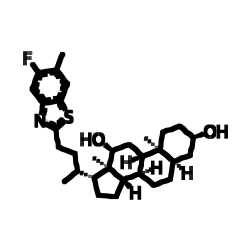 Cc1cc2sc(CCC(C)[C@H]3CC[C@H]4[C@@H]5CC[C@@H]6C[C@H](O)CC[C@]6(C)[C@H]5C[C@H](O)[C@]34C)nc2cc1F